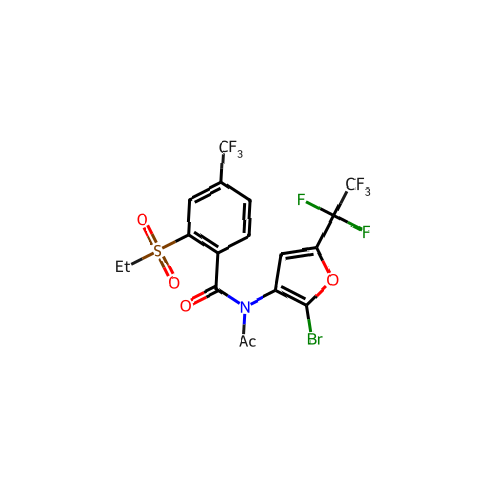 CCS(=O)(=O)c1cc(C(F)(F)F)ccc1C(=O)N(C(C)=O)c1cc(C(F)(F)C(F)(F)F)oc1Br